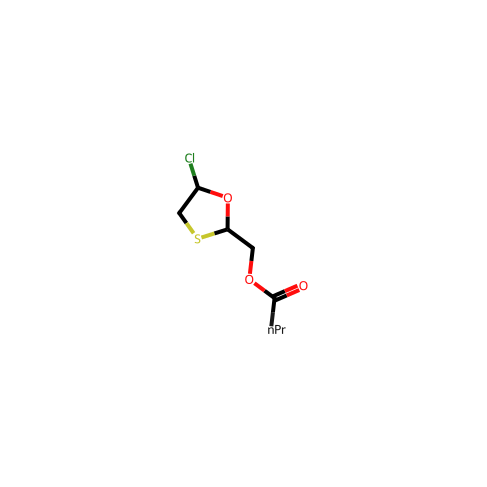 CCCC(=O)OCC1OC(Cl)CS1